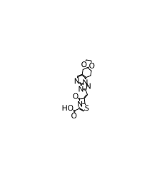 O=C(O)C1=CSC2C(=Cc3nc4ncc5c(n4n3)CCC3(C5)OCCO3)C(=O)N12